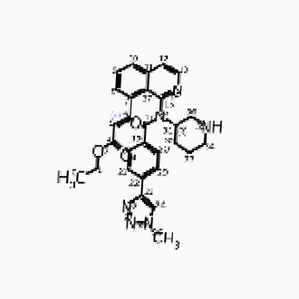 CCOC(=O)/C=C/c1cccc2ccnc(N(C(=O)c3ccc(-c4cn(C)nn4)cc3)[C@@H]3CCCNC3)c12